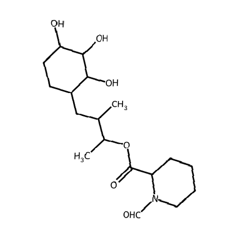 CC(CC1CCC(O)C(O)C1O)C(C)OC(=O)C1CCCCN1C=O